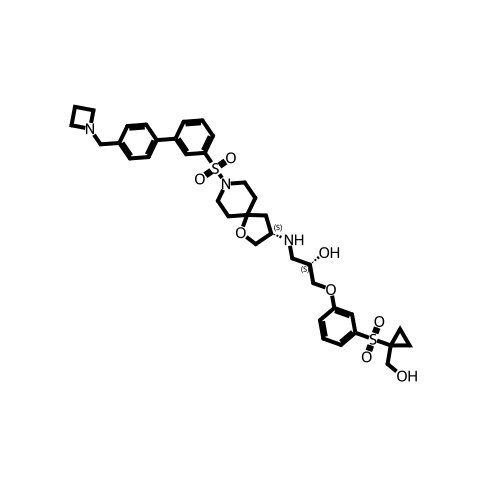 O=S(=O)(c1cccc(-c2ccc(CN3CCC3)cc2)c1)N1CCC2(CC1)C[C@H](NC[C@H](O)COc1cccc(S(=O)(=O)C3(CO)CC3)c1)CO2